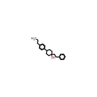 CCCc1ccc(C2CCC(O)(CCc3ccccc3)CC2)cc1